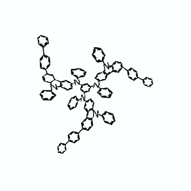 C1=CC2C(C=C1c1ccc(-c3ccccc3)cc1)c1cc(N(c3ccccc3)c3cc(N(c4ccccc4)c4ccc5c(c4)c4cc(-c6ccc(-c7ccccc7)cc6)ccc4n5-c4ccccc4)cc(N(c4ccccc4)c4ccc5c(c4)c4cc(-c6ccc(-c7ccccc7)cc6)ccc4n5-c4ccccc4)c3)ccc1N2c1ccccc1